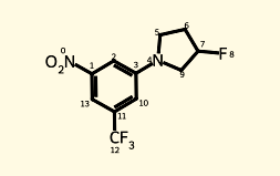 O=[N+]([O-])c1cc(N2CCC(F)C2)cc(C(F)(F)F)c1